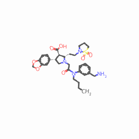 CCCCN(C(=O)CN1C[C@H](c2ccc3c(c2)OCO3)[C@@H](C(=O)O)[C@@H]1CCN1CCCS1(=O)=O)c1cccc(CN)c1